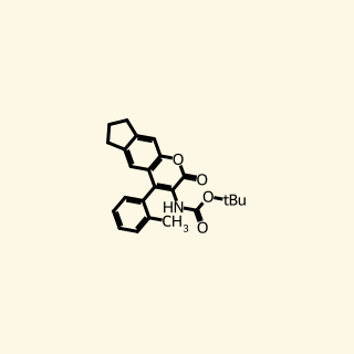 Cc1ccccc1-c1c(NC(=O)OC(C)(C)C)c(=O)oc2cc3c(cc12)CCC3